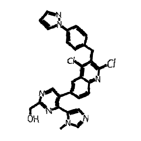 Cn1cncc1-c1nc(CO)ncc1-c1ccc2nc(Cl)c(Cc3ccc(-n4cccn4)cc3)c(Cl)c2c1